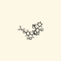 N#Cc1ccccc1-c1c(Cl)cc2[nH]c(C(CO)c3ccc(OCC4CC4)cc3)nc2c1Cl